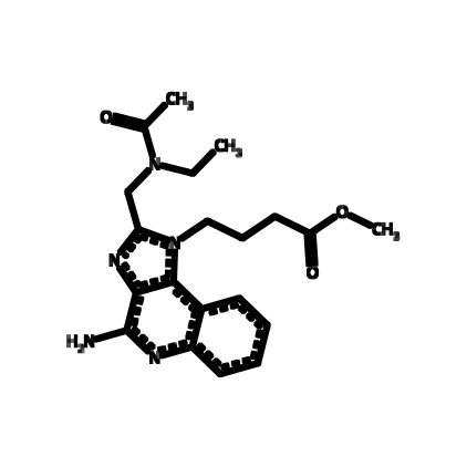 CCN(Cc1nc2c(N)nc3ccccc3c2n1CCCC(=O)OC)C(C)=O